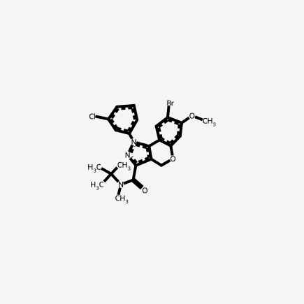 COc1cc2c(cc1Br)-c1c(c(C(=O)N(C)C(C)(C)C)nn1-c1cccc(Cl)c1)CO2